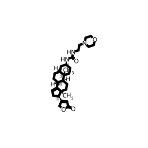 C[C@]12CC[C@H](NC(=O)NCCN3CCOCC3)C[C@H]1CC[C@H]1C3=CC[C@H](C4=CC(=O)OC4)[C@@]3(C)CC[C@@H]12